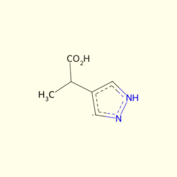 CC(C(=O)O)c1[c]n[nH]c1